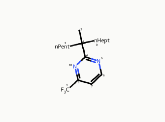 CCCCCCCC(C)(CCCCC)c1nccc(C(F)(F)F)n1